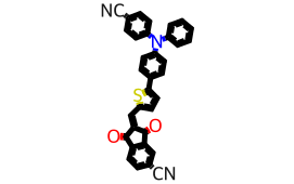 N#Cc1ccc(N(c2ccccc2)c2ccc(-c3ccc(/C=C4/C(=O)c5ccc(C#N)cc5C4=O)s3)cc2)cc1